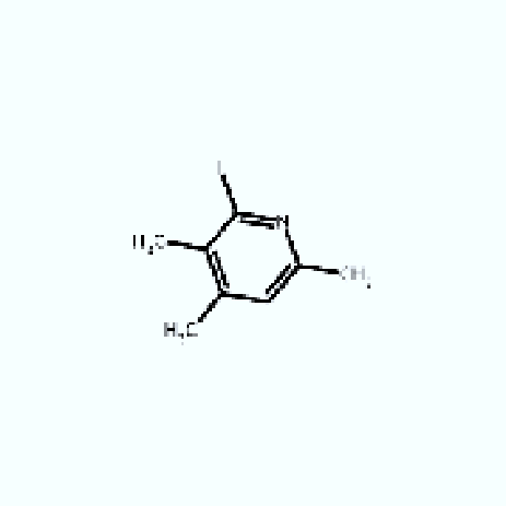 Cc1cc(C)c(C)c(I)n1